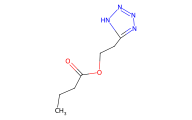 CCCC(=O)OCCc1nnn[nH]1